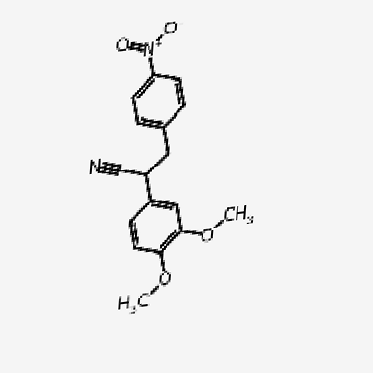 COc1ccc(C(C#N)Cc2ccc([N+](=O)[O-])cc2)cc1OC